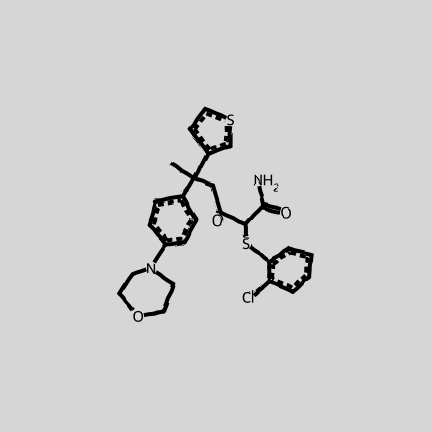 CC(CC(=O)C(Sc1ccccc1Cl)C(N)=O)(c1ccc(N2CCOCC2)cc1)c1ccsc1